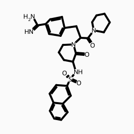 N=C(N)c1ccc(CC(C(=O)N2CCCCC2)N2CCCC(NS(=O)(=O)c3ccc4ccccc4c3)C2=O)cc1